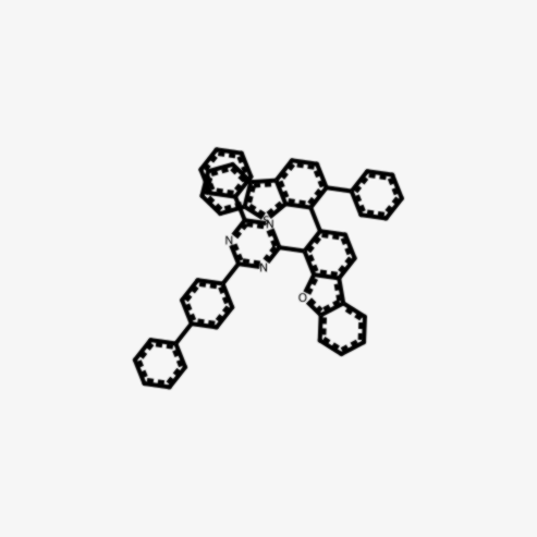 c1ccc(-c2ccc(-c3nc(-c4ccccc4)nc(-c4c(-c5c(-c6ccccc6)ccc6c5sc5ccccc56)ccc5c4oc4ccccc45)n3)cc2)cc1